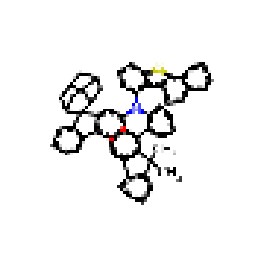 CC1(C)c2ccccc2-c2cccc(-c3ccccc3N(c3ccc4c(c3)C3(c5ccccc5-4)C4CC5CC(C4)CC3C5)c3cccc4sc5c6ccccc6ccc5c34)c21